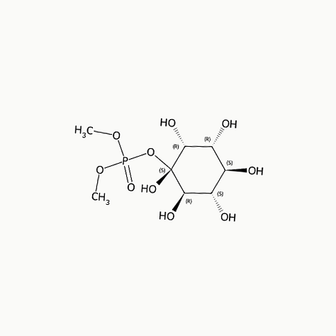 COP(=O)(OC)O[C@]1(O)[C@H](O)[C@H](O)[C@@H](O)[C@H](O)[C@H]1O